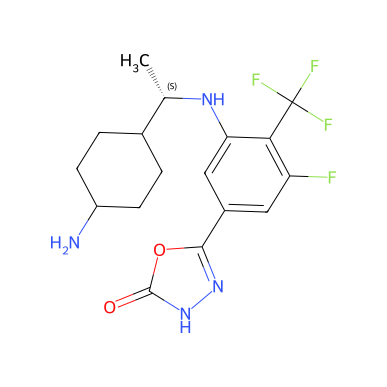 C[C@H](Nc1cc(-c2n[nH]c(=O)o2)cc(F)c1C(F)(F)F)C1CCC(N)CC1